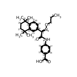 CCCO/N=C(/C(=O)Nc1ccc(C(=O)O)cc1)c1ccc2c(c1)C(C)(C)CCC2(C)C